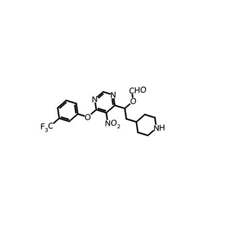 O=COC(CC1CCNCC1)c1ncnc(Oc2cccc(C(F)(F)F)c2)c1[N+](=O)[O-]